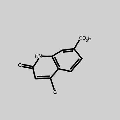 O=C(O)c1ccc2c(Cl)cc(=O)[nH]c2c1